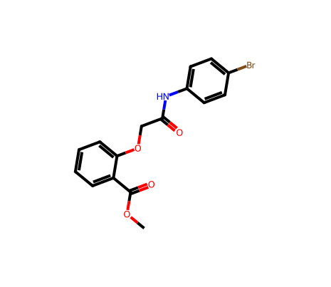 COC(=O)c1ccccc1OCC(=O)Nc1ccc(Br)cc1